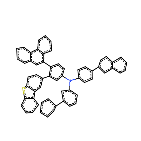 c1ccc(-c2cccc(N(c3ccc(-c4ccc5ccccc5c4)cc3)c3ccc(-c4cc5ccccc5c5ccccc45)c(-c4ccc5sc6ccccc6c5c4)c3)c2)cc1